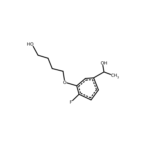 CC(O)c1ccc(F)c(OCCCCO)c1